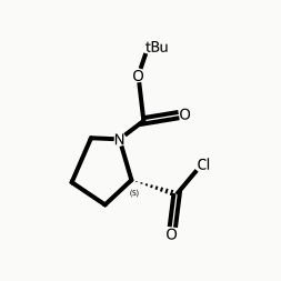 CC(C)(C)OC(=O)N1CCC[C@H]1C(=O)Cl